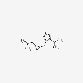 CC(C)CC1CC1Cc1cscc1C(C)C